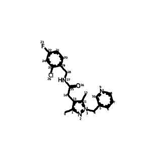 Cc1nn(Cc2cccnc2)c(C)c1CC(=O)NCc1ccc(F)cc1Cl